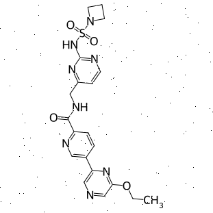 CCOc1cncc(-c2ccc(C(=O)NCc3ccnc(NS(=O)(=O)N4CCC4)n3)nc2)n1